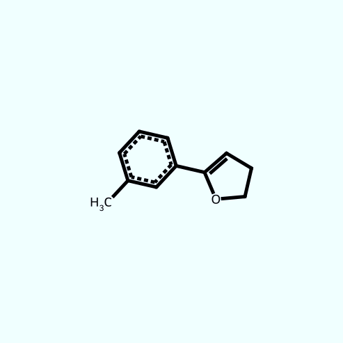 Cc1cccc(C2=CCCO2)c1